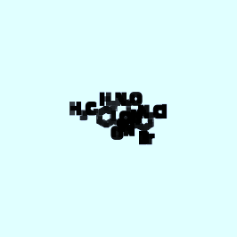 Cc1ccc(S(=O)(=O)/N=c2/c(Br)cc(Cl)nn2CC(N)=O)cc1